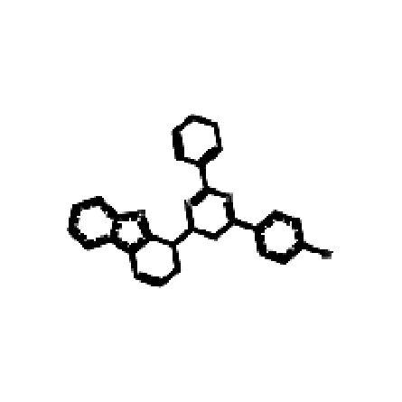 Brc1ccc(C2=NC(C3=CCCC=C3)=NC(C3CC=Cc4c3oc3ccccc43)C2)cc1